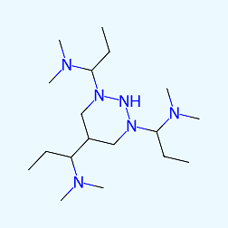 CCC(C1CN(C(CC)N(C)C)NN(C(CC)N(C)C)C1)N(C)C